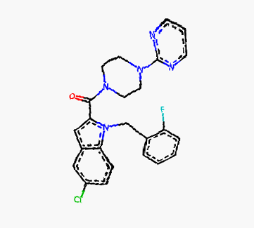 O=C(c1cc2cc(Cl)ccc2n1Cc1ccccc1F)N1CCN(c2ncccn2)CC1